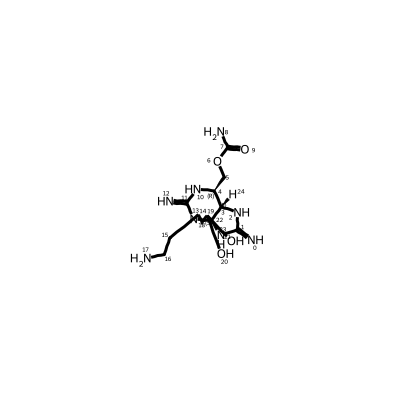 N=C1N[C@H]2[C@H](COC(N)=O)NC(=N)N3C(CCN)CC(O)(O)[C@]23N1